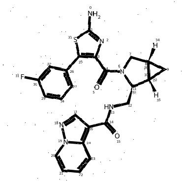 Nc1nc(C(=O)N2C[C@@H]3C[C@@H]3[C@H]2CNC(=O)c2cnn3ccccc23)c(-c2cccc(F)c2)s1